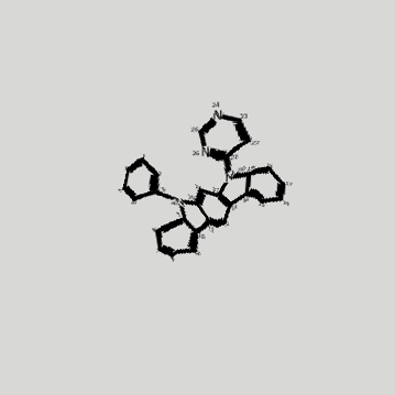 c1ccc(-n2c3ccccc3c3cc4c5ccccc5n(-c5ccncn5)c4cc32)cc1